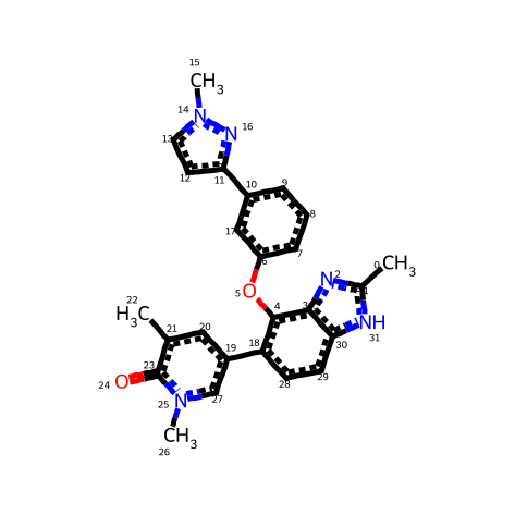 Cc1nc2c(Oc3cccc(-c4ccn(C)n4)c3)c(-c3cc(C)c(=O)n(C)c3)ccc2[nH]1